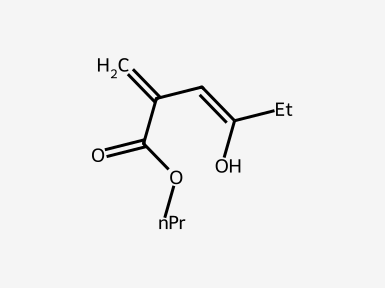 C=C(C=C(O)CC)C(=O)OCCC